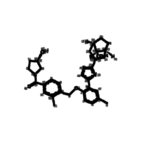 Cc1ccc(OCc2ccc(C(=O)N3CC[C@@H](O)C3)cc2C)c(-c2csc(N3C[C@H]4CC[C@@H](C3)[C@H]4C(=O)O)n2)c1